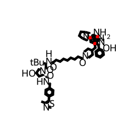 Cc1ncsc1-c1ccc(CNC(=O)[C@@H]2C[C@H](O)CN2C(=O)C(NC(=O)CCCCCCCC(=O)N2CCC(Cc3cccc(N4C5CCC4CN(c4cc(-c6ccccc6O)nnc4N)C5)c3)CC2)C(C)(C)C)cc1